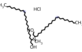 CCCCCCCC/C=C\CCCCCCCCCCCC(CCO)N(C)C(CCO)CCCCCCCCCCC/C=C\CCCCCCCC.Cl